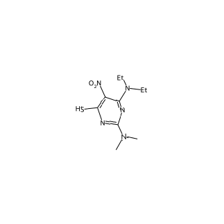 CCN(CC)c1nc(N(C)C)nc(S)c1[N+](=O)[O-]